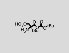 CC(C)(C)OC(=O)OC(=O)[C@@](N)(CC(=O)O)C(C)(C)C